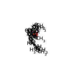 COc1ccc(CN(Cc2ccc(OC)cc2)S(=O)(=O)c2c(S(=O)O)ccc(N3CCC(S(=O)(=O)NCCNC(=O)OC(C)(C)C)CC3)c2-c2nnn(Cc3ccc(OC)cc3)n2)cc1